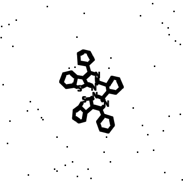 c1ccc(-c2nc(-c3ccccc3-c3nc(-c4ccccc4)c4c(n3)sc3ccccc34)nc3sc4ccccc4c23)cc1